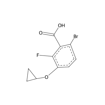 O=C(O)c1c(Br)ccc(OC2CC2)c1F